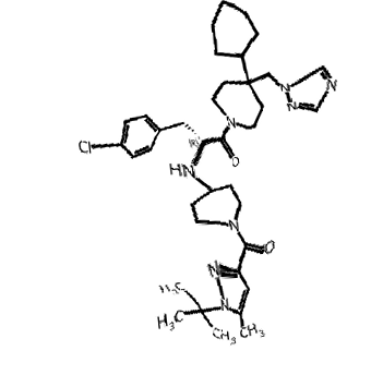 Cc1cc(C(=O)N2CCC(N[C@H](Cc3ccc(Cl)cc3)C(=O)N3CCC(Cn4cncn4)(C4CCCCC4)CC3)CC2)nn1C(C)(C)C